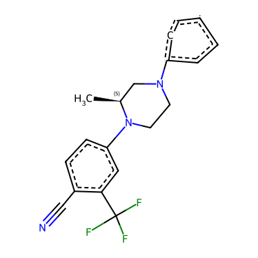 C[C@H]1CN(c2cc[c]cc2)CCN1c1ccc(C#N)c(C(F)(F)F)c1